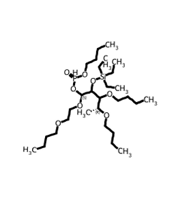 CCCCOCCO[C@@H](O[PH](=O)OCCCC)C(O[Si](CC)(CC)CC)C(OCCCC)[C@@H](C)OCCCC